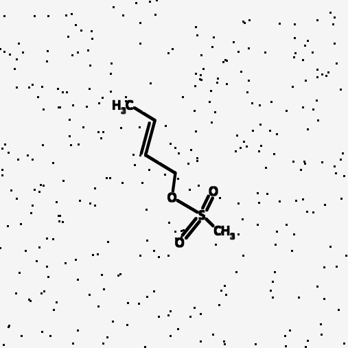 CC=CCOS(C)(=O)=O